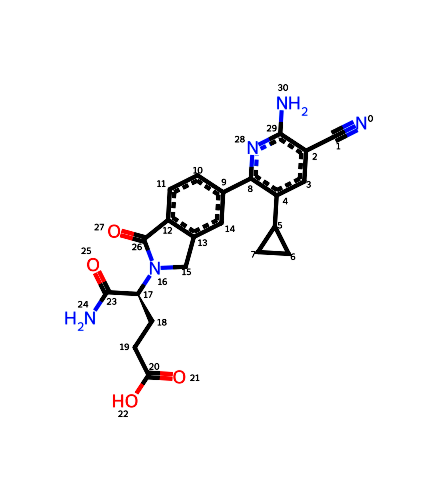 N#Cc1cc(C2CC2)c(-c2ccc3c(c2)CN([C@@H](CCC(=O)O)C(N)=O)C3=O)nc1N